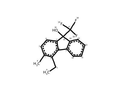 CCc1c(C)ccc2c1-c1ccccc1C2(O)C(F)(F)F